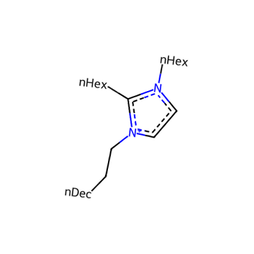 CCCCCCCCCCCC[n+]1ccn(CCCCCC)c1CCCCCC